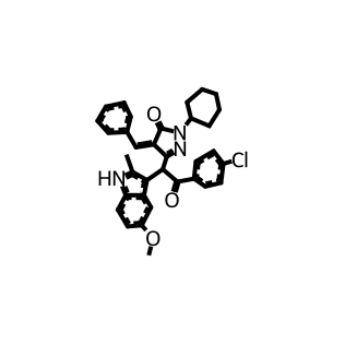 COc1ccc2[nH]c(C)c(C(C(=O)c3ccc(Cl)cc3)C3=NN(C4CCCCC4)C(=O)C3=Cc3ccccc3)c2c1